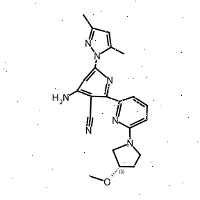 CO[C@H]1CCN(c2cccc(-c3nc(-n4nc(C)cc4C)cc(N)c3C#N)n2)C1